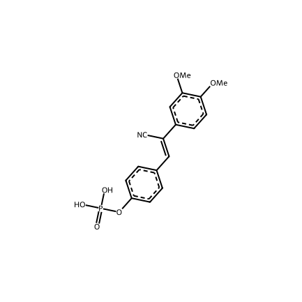 COc1ccc(/C(C#N)=C/c2ccc(OP(=O)(O)O)cc2)cc1OC